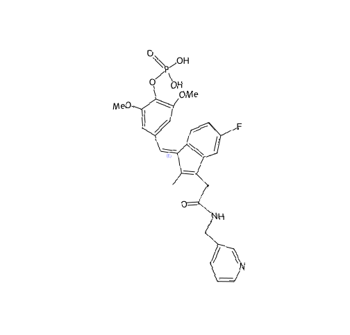 COc1cc(/C=C2/C(C)=C(CC(=O)NCc3cccnc3)c3cc(F)ccc32)cc(OC)c1OP(=O)(O)O